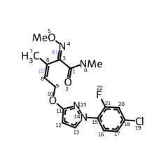 CNC(=O)C(=N/OC)/C(C)=C\COc1ccn(-c2ccc(Cl)cc2F)n1